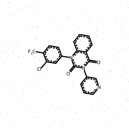 O=c1c2ccccc2n(-c2ccc(C(F)(F)F)c(Cl)c2)c(=O)n1-c1cccnc1